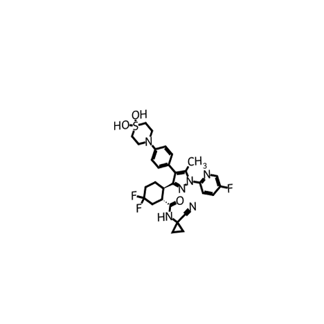 Cc1c(-c2ccc(N3CCS(O)(O)CC3)cc2)c([C@@H]2CCC(F)(F)C[C@H]2C(=O)NC2(C#N)CC2)nn1-c1ccc(F)cn1